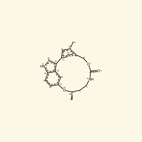 C[C@@H]1CCNC(=O)OCc2nc(cn2C)-c2n[nH]c3ccc(cc23)O1